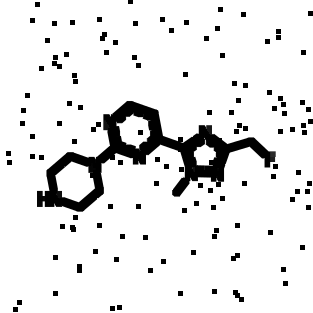 Cn1nc(CF)nc1-c1ccnc(N2CCNCC2)n1